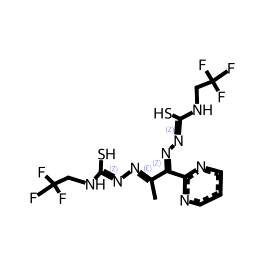 CC(=N\N=C(/S)NCC(F)(F)F)/C(=N/N=C(\S)NCC(F)(F)F)c1ncccn1